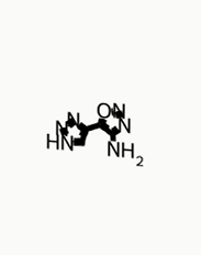 Nc1nnoc1-c1c[nH]nn1